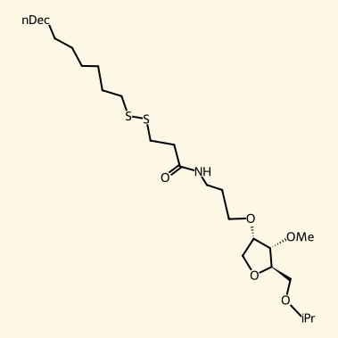 CCCCCCCCCCCCCCCCSSCCC(=O)NCCCO[C@H]1CO[C@H](COC(C)C)[C@H]1OC